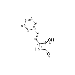 O=C1N[C@@H](/C=C/c2ccccc2)[C@H]1O